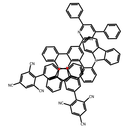 N#Cc1cc(C#N)c(-c2ccc3c(c2)c2cc(-c4c(C#N)cc(C#N)cc4C#N)ccc2n3-c2c(-c3ccccc3-n3c4ccccc4c4ccccc43)cc(-c3nc(-c4ccccc4)cc(-c4ccccc4)n3)cc2-c2ccccc2-n2c3ccccc3c3ccccc32)c(C#N)c1